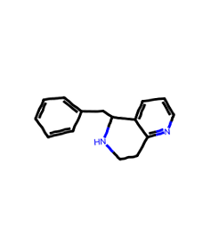 c1ccc(CC2NCCc3ncccc32)cc1